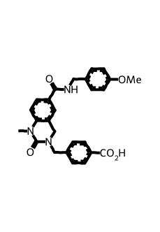 COc1ccc(CNC(=O)c2ccc3c(c2)CN(Cc2ccc(C(=O)O)cc2)C(=O)N3C)cc1